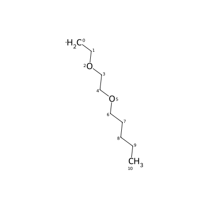 [CH2]COCCOCCCCC